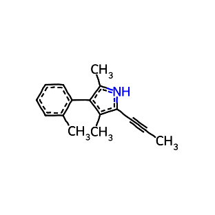 CC#Cc1[nH]c(C)c(-c2ccccc2C)c1C